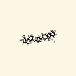 CN1CC2COc3c(Sc4cnc(N5CCC6(CC5)Cc5ncccc5[C@H]6N)cn4)ccnc3N2C1=O